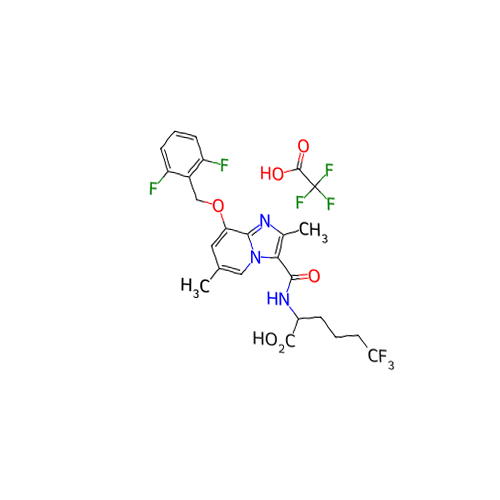 Cc1cc(OCc2c(F)cccc2F)c2nc(C)c(C(=O)NC(CCCC(F)(F)F)C(=O)O)n2c1.O=C(O)C(F)(F)F